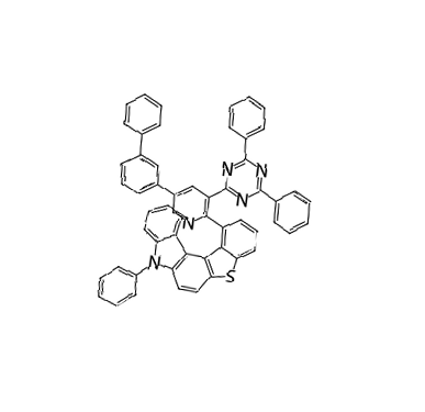 c1ccc(-c2cccc(-c3cnc(-c4cccc5sc6ccc7c(c8ccccc8n7-c7ccccc7)c6c45)c(-c4nc(-c5ccccc5)nc(-c5ccccc5)n4)c3)c2)cc1